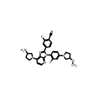 COC1CCN(c2ccc(-n3c(-c4ccc(C#N)c(F)c4)nc4c(N5CCC(N)C5)ccnc43)c(F)c2)C1